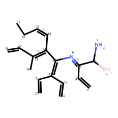 BC(N)/C(C=C)=N/C(=C(C=C)C=C)C(/C=C\CC)=C(\C)C=C